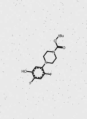 CC(C)(C)OC(=O)N1CCN(c2cc(O)c(F)cc2F)CC1